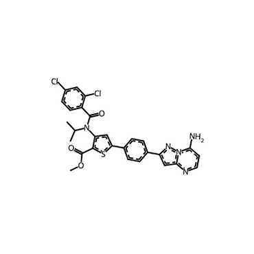 COC(=O)c1sc(-c2ccc(-c3cc4nccc(N)n4n3)cc2)cc1N(C(=O)c1ccc(Cl)cc1Cl)C(C)C